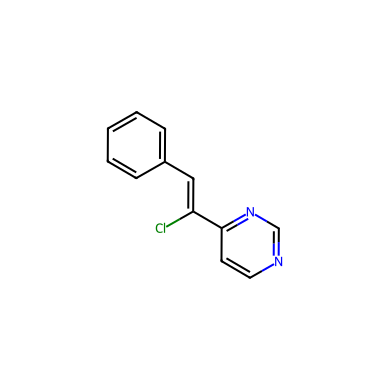 ClC(=Cc1ccccc1)c1ccncn1